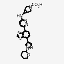 O=C(O)N1CC2C(C1)C2Nc1ccc(-c2ccc(-c3cnn(C4CCCCO4)c3)c3ncsc23)nn1